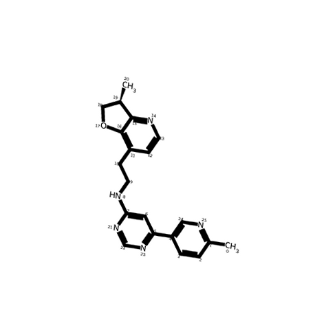 Cc1ccc(-c2cc(NCCc3ccnc4c3OC[C@H]4C)ncn2)cn1